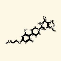 COCCOc1cc(F)c(C2=CCN(c3nc4c(nnn4C)c(=O)[nH]3)CC2)c(F)c1